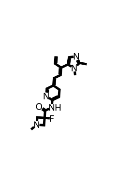 C=C/C(=C\C=C1\C=NC(NC(=O)C2(F)CN(C)C2)=CC1)c1cnc(C)n1C